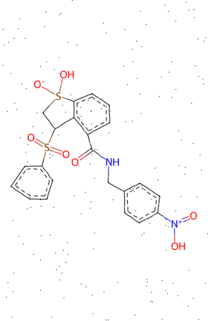 O=C(NCc1ccc([N+](=O)O)cc1)c1cccc2c1C(S(=O)(=O)c1ccccc1)CS2([O-])O